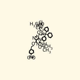 CC(C)C(=O)Nc1nc(OCCc2ccc([N+](=O)[O-])cc2)c2ncn(C3CN(C(c4ccccc4)(c4ccccc4)c4ccccc4)CC(COP(=O)(Cl)N(C)C)O3)c2n1